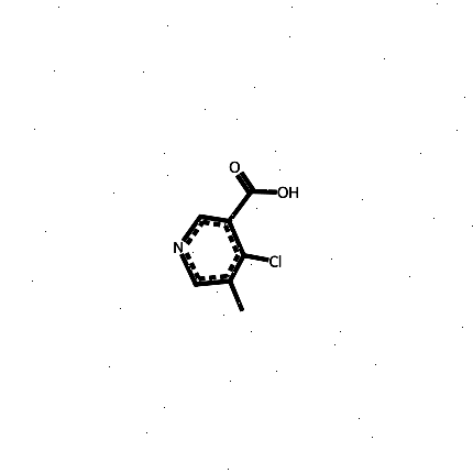 Cc1cncc(C(=O)O)c1Cl